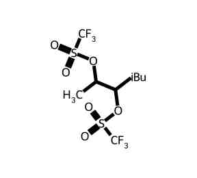 CCC(C)C(OS(=O)(=O)C(F)(F)F)C(C)OS(=O)(=O)C(F)(F)F